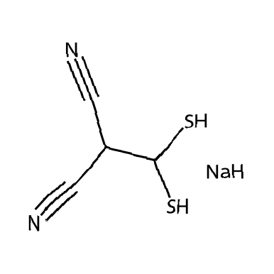 N#CC(C#N)C(S)S.[NaH]